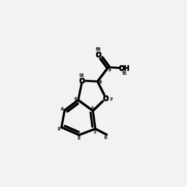 Cc1cccc2c1OC(C(=O)O)O2